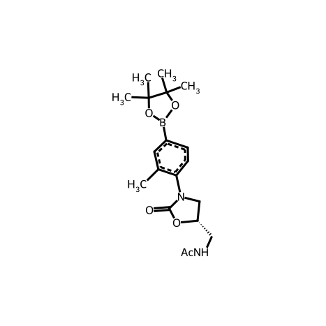 CC(=O)NC[C@H]1CN(c2ccc(B3OC(C)(C)C(C)(C)O3)cc2C)C(=O)O1